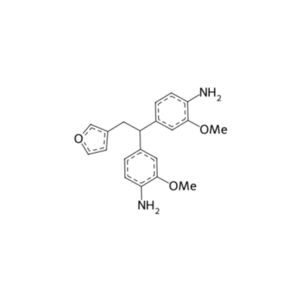 COc1cc(C(Cc2ccoc2)c2ccc(N)c(OC)c2)ccc1N